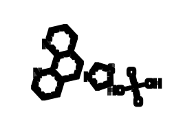 O=S(=O)(O)O.c1cnc2c(c1)ccc1cccnc12.c1cscn1